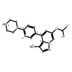 N#Cc1cnn2cc(OC(F)F)cc(-c3ccc(N4CCNCC4)nc3)c12